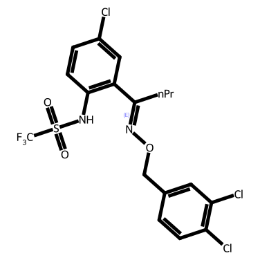 CCC/C(=N\OCc1ccc(Cl)c(Cl)c1)c1cc(Cl)ccc1NS(=O)(=O)C(F)(F)F